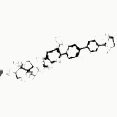 CN1CCN=C1c1ccc(-c2ccc(-c3nc4nc(O[C@@H]5CO[C@H]6[C@@H]5OC[C@H]6O)[nH]c4cc3Cl)cc2)cc1